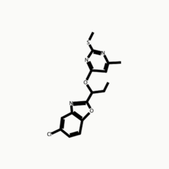 CCC(Oc1cc(C)nc(SC)n1)c1nc2cc(Cl)ccc2o1